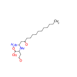 CCCCCCCCCCCC(=O)CC(N)NC(CC=O)C(=O)O